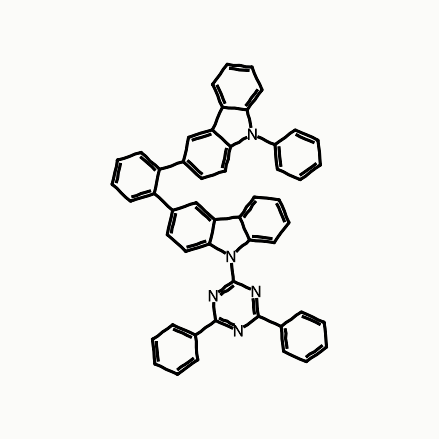 c1ccc(-c2nc(-c3ccccc3)nc(-n3c4ccccc4c4cc(-c5ccccc5-c5ccc6c(c5)c5ccccc5n6-c5ccccc5)ccc43)n2)cc1